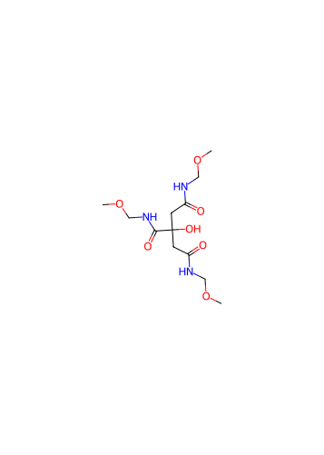 COCNC(=O)CC(O)(CC(=O)NCOC)C(=O)NCOC